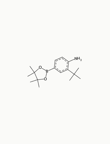 CC(C)(C)c1cc(B2OC(C)(C)C(C)(C)O2)ccc1N